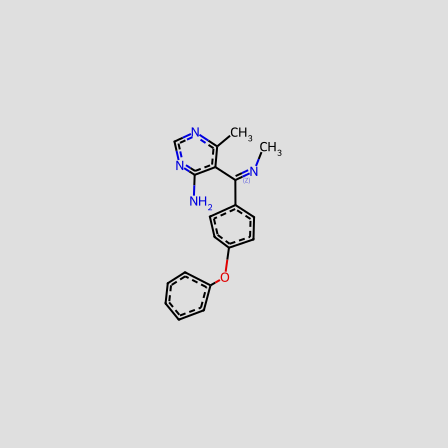 C/N=C(/c1ccc(Oc2ccccc2)cc1)c1c(C)ncnc1N